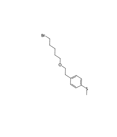 CSc1ccc(CCOCCCCCBr)cc1